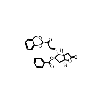 O=C1C[C@@H]2[C@@H](/C=C/C(=O)[C@H]3OCc4ccccc4O3)[C@H](OC(=O)c3ccccc3)C[C@@H]2O1